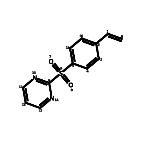 C=Cc1ccc(S(=O)(=O)c2ncccn2)cc1